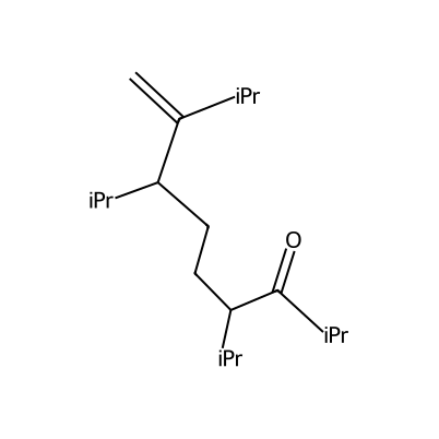 C=C(C(C)C)C(CCC(C(=O)C(C)C)C(C)C)C(C)C